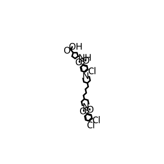 O=C(O)C1CCC(NS(=O)(=O)c2ccc(N3CCC(CCCCC4CCN(S(=O)(=O)c5ccc(Cl)c(Cl)c5)CC4)CC3)c(Cl)c2)C1